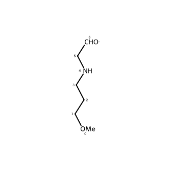 COCCCNC[C]=O